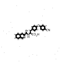 N#Cc1ccc(Oc2ccc(C[C@H](NC(=O)c3cc4ccccc4cn3)C(=O)O)cc2)cc1